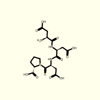 N[C@@H](CC(=O)O)C(=O)N[C@@H](CC(=O)O)C(=O)N[C@@H](CC(=O)O)C(=O)N1CCC[C@H]1C(=O)O